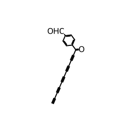 C#CC#CC#CC#CC#CC(=O)c1ccc(C=O)cc1